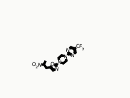 CC(Cc1cnc(N2CCN(c3ncc(C(F)(F)F)cn3)CC2)o1)[N+](=O)[O-]